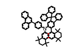 CC1(C)CCC(C)(C)c2cc(N(c3ccc(-c4cc5ccccc5c5ccccc45)cc3)c3cc4c(cc3-c3cccc5c3C(C)(C)CCC5(C)C)-c3ccccc3C43c4ccccc4-c4ccccc43)ccc21